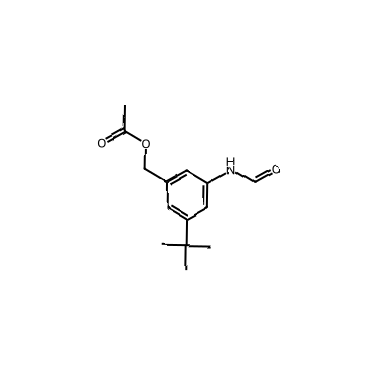 CC(=O)OCc1cc(NC=O)cc(C(C)(C)C)c1